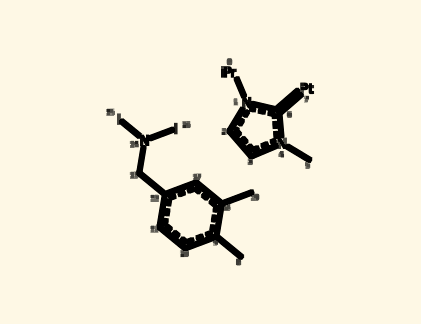 CC(C)n1ccn(C)[c]1=[Pt].Cc1ccc(CN(I)I)cc1C